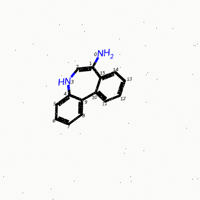 NC1=CNc2ccccc2-c2ccccc21